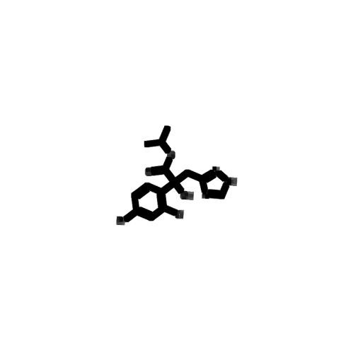 CC(C)OC(=O)C(O)(Cc1nc[nH]n1)c1ccc(Br)cc1Cl